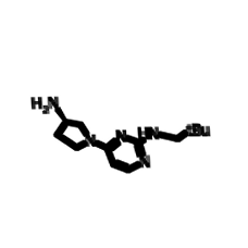 CC(C)(C)CNc1nccc(N2CC[C@@H](N)C2)n1